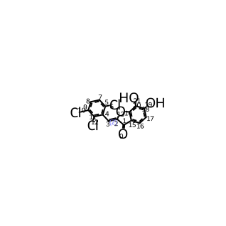 O=C1/C(=C/c2c(Cl)ccc(Cl)c2Cl)Oc2c1ccc(O)c2O